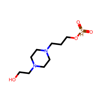 O=[SH](=O)OCCCN1CCN(CCO)CC1